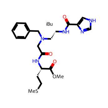 CC[C@H](C)[C@@H](CN(CC(=O)N[C@@H](CCSC)C(=O)OC)Cc1ccccc1)NC(=O)c1c[nH]cn1